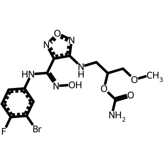 COCC(CNc1nonc1C(=NO)Nc1ccc(F)c(Br)c1)OC(N)=O